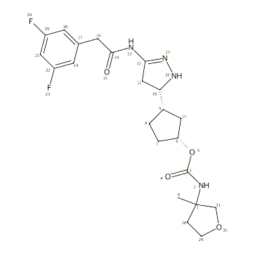 CC1(NC(=O)O[C@@H]2CC[C@H](C3CC(NC(=O)Cc4cc(F)cc(F)c4)=NN3)C2)CCOC1